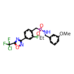 CCOP(=O)(Cc1ccc(-c2noc(C(F)(F)Cl)n2)cc1F)NCc1cccc(OC)c1